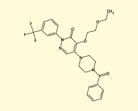 CCOCCOc1c(N2CCN(C(=O)c3ccccc3)CC2)cnn(-c2cccc(C(F)(F)F)c2)c1=O